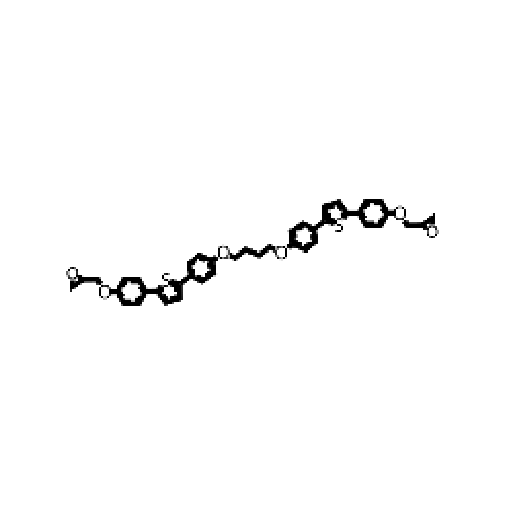 c1cc(-c2ccc(-c3ccc(OCC4CO4)cc3)s2)ccc1OCCCCOc1ccc(-c2ccc(-c3ccc(OCC4CO4)cc3)s2)cc1